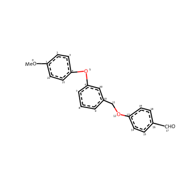 COc1ccc(Oc2cccc(COc3ccc(C=O)cc3)c2)cc1